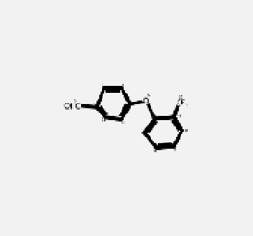 O=Cc1ccc(Oc2ccccc2C(F)(F)F)cc1